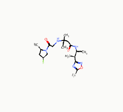 CC(NC(=O)CC(C)(C)NCC(=O)N1C[C@@H](F)C[C@H]1C#N)[C@H](C)c1noc(C(F)(F)F)n1